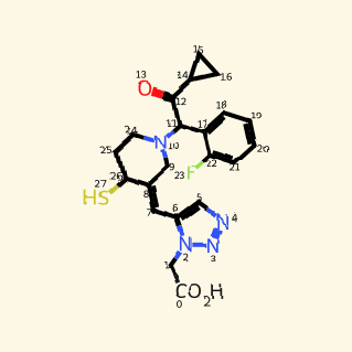 O=C(O)Cn1nncc1/C=C1\CN(C(C(=O)C2CC2)c2ccccc2F)CCC1S